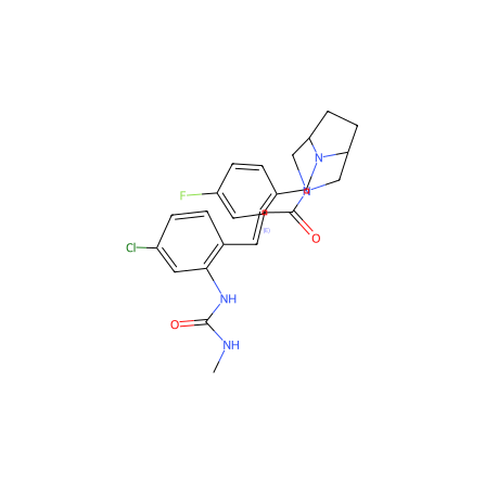 CNC(=O)Nc1cc(Cl)ccc1/C=C/C(=O)N1CC2CCC(C1)N2Cc1ccc(F)cc1